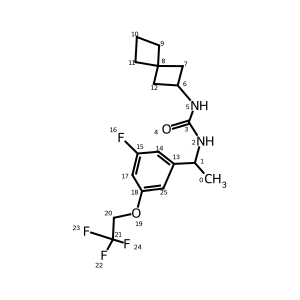 CC(NC(=O)NC1CC2(CCC2)C1)c1cc(F)cc(OCC(F)(F)F)c1